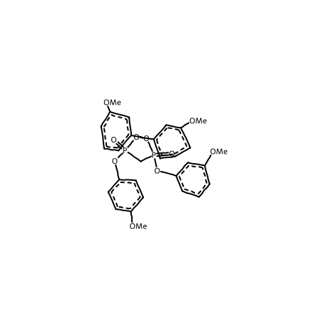 COc1ccc(OP(=O)(CP(=O)(Oc2cccc(OC)c2)Oc2cccc(OC)c2)Oc2cccc(OC)c2)cc1